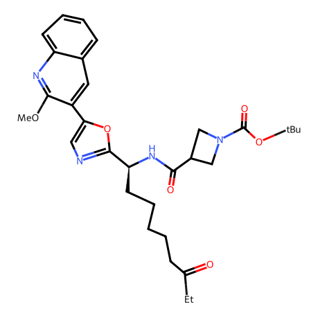 CCC(=O)CCCCC[C@H](NC(=O)C1CN(C(=O)OC(C)(C)C)C1)c1ncc(-c2cc3ccccc3nc2OC)o1